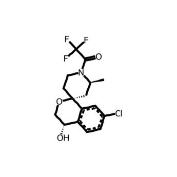 C[C@H]1C[C@@]2(CCN1C(=O)C(F)(F)F)OC[C@@H](O)c1ccc(Cl)cc12